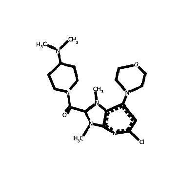 CN(C)C1CCN(C(=O)C2N(C)c3nc(Cl)cc(N4CCOCC4)c3N2C)CC1